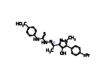 CCCc1ccc(-c2c(O)c(/C(C)=N/NC(=S)Nc3ccc(C(=O)O)cc3)nn2C)cc1